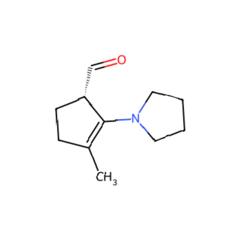 CC1=C(N2CCCC2)[C@@H](C=O)CC1